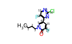 CCCCn1cc(-c2nc(Cl)ncc2F)cc(F)c1=O